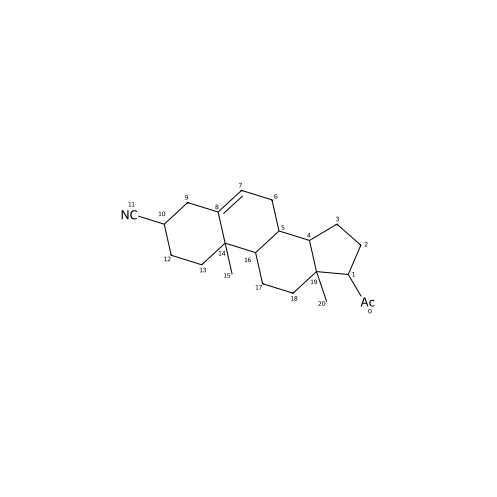 CC(=O)C1CCC2C3CC=C4CC(C#N)CCC4(C)C3CCC12C